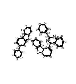 C1=CC2Oc3cc(-n4c5ccccc5c5ccc(-c6ccccc6)cc54)ccc3C2C(c2nc(-c3ccccc3)nc3ccccc23)=C1